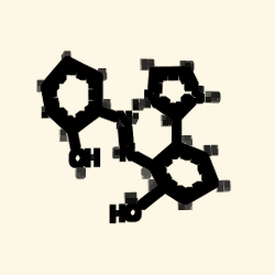 Oc1ccccc1N=Nc1c(O)cccc1-c1nccs1